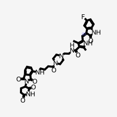 Cc1[nH]c(/C=C2\C(=O)Nc3ccc(F)cc32)c(C)c1C(=O)NCCN1CCN(C(=O)CCCNc2cccc3c2C(=O)N(C2CCC(=O)NC2=O)C3=O)CC1